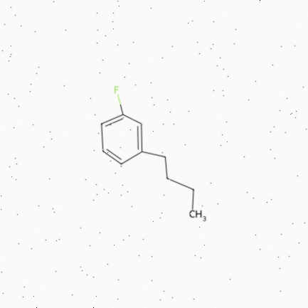 CCCCc1[c]ccc(F)c1